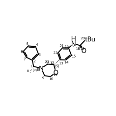 C[C@H](c1ccccc1)N1CCO[C@@H](c2ccc(NC(=O)C(C)(C)C)cc2)C1